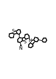 N#Cc1ccc(-c2cccc3sc4ccccc4c23)c2c1sc1c(-n3c4ccccc4c4cc(-c5ccccc5)ccc43)cccc12